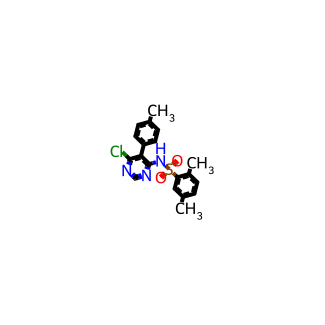 Cc1ccc(-c2c(Cl)ncnc2NS(=O)(=O)c2cc(C)ccc2C)cc1